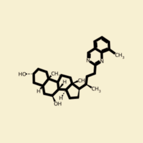 Cc1cccc2cnc(CC[C@@H](C)[C@H]3CC[C@H]4[C@H]5C(CC[C@]34C)[C@@]3(C)CC[C@@H](O)C[C@H]3C[C@@H]5O)nc12